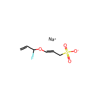 C=CC(F)OC=CCS(=O)(=O)[O-].[Na+]